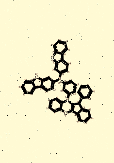 c1ccc(C2C3=C(Oc4ccccc4N3c3cccc(N(c4ccc5c(c4)oc4ccccc45)c4ccc5c(c4)oc4ccccc45)c3)c3ccccc32)cc1